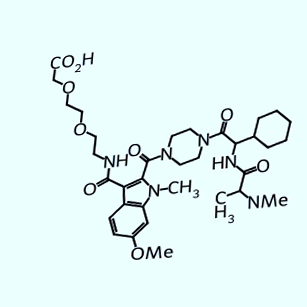 CNC(C)C(=O)NC(C(=O)N1CCN(C(=O)c2c(C(=O)NCCOCCOCC(=O)O)c3ccc(OC)cc3n2C)CC1)C1CCCCC1